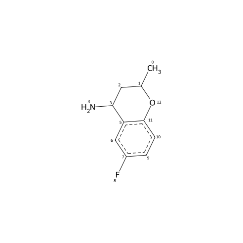 CC1CC(N)c2cc(F)ccc2O1